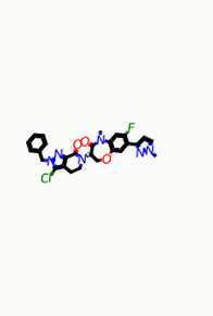 CN1C(=O)[C@@H](N2CCc3c(nn(Cc4ccccc4)c3Cl)C2=O)COc2cc(-c3ccn(C)n3)c(F)cc21